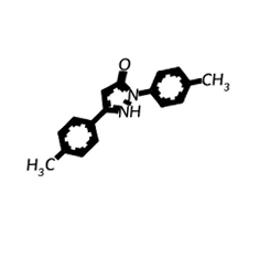 Cc1ccc(-c2cc(=O)n(-c3ccc(C)cc3)[nH]2)cc1